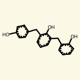 Oc1ccc(Cc2cccc(Cc3ccccc3O)c2O)cc1